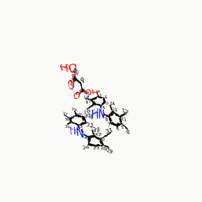 Cc1ccc(Nc2ccc(C)c(C)c2C)c(C)c1C.Cc1ccc(Nc2ccc(C)c(C)c2C)c(C)c1C.O=C(O)CC(=O)O